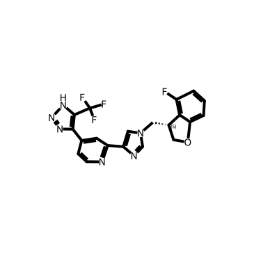 Fc1cccc2c1[C@@H](Cn1cnc(-c3cc(-c4nn[nH]c4C(F)(F)F)ccn3)c1)CO2